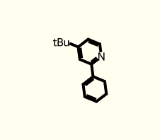 CC(C)(C)c1ccnc(C2=CC=CCC2)c1